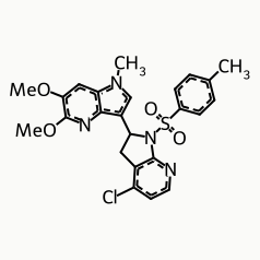 COc1cc2c(nc1OC)c(C1Cc3c(Cl)ccnc3N1S(=O)(=O)c1ccc(C)cc1)cn2C